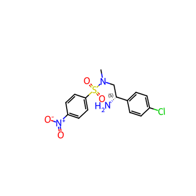 CN(C[C@@H](N)c1ccc(Cl)cc1)S(=O)(=O)c1ccc([N+](=O)[O-])cc1